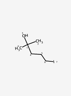 CC(C)(O)CCCI